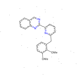 COc1cccc(Cc2cccc(-c3ncc4ccccc4n3)n2)c1OC